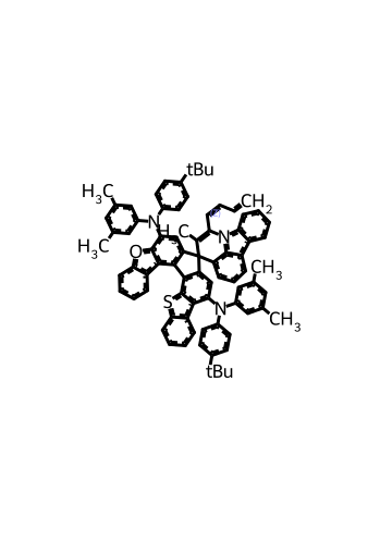 C=C/C=C\C1=C(C)C2(c3cc(N(c4ccc(C(C)(C)C)cc4)c4cc(C)cc(C)c4)c4c(sc5ccccc54)c3-c3c2cc(N(c2ccc(C(C)(C)C)cc2)c2cc(C)cc(C)c2)c2oc4ccccc4c32)c2cccc3c4ccccc4n1c23